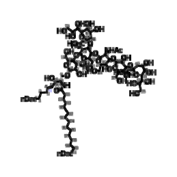 CCCCCCCCCCCCC/C=C/[C@@H](O)[C@H](CO[C@@H]1OC(CO)[C@@H](O[C@@H]2OC(CO)[C@H](O[C@@H]3OC(CO)[C@H](O)[C@H](O[C@@H]4OC(CO)[C@H](O)[C@H](O[C@]5(C(=O)O)CC(O)[C@@H](O)C([C@H](O)[C@H](O)CO)O5)C4O)C3NC(C)=O)[C@H](O[C@]3(C(=O)O)CC(O)[C@@H](O)C([C@H](O)[C@H](O)CO)O3)C2O)[C@H](O)C1O)NC(=O)CCCCCCCCCCCCCCCCCCCCCCC